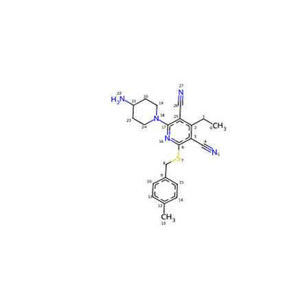 CCc1c(C#N)c(SCc2ccc(C)cc2)nc(N2CCC(N)CC2)c1C#N